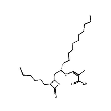 CCCCCCCCCCC[C@@H](C[C@@H]1OC(=O)[C@H]1CCCCCC)OC=C(C)C(=O)O